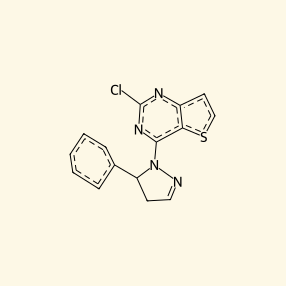 Clc1nc(N2N=CCC2c2ccccc2)c2sccc2n1